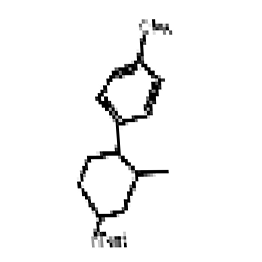 CCCCCC1CCC(c2ccc(OC)cc2)C(C)C1